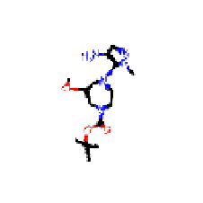 COC1CN(C(=O)OC(C)(C)C)CCN(c2c(N)cnn2C)C1